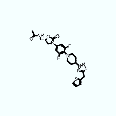 CC(=O)NC[C@H]1CN(c2cc(F)c(N3CCC(n4nnc(Cc5cccs5)n4)CC3)c(F)c2)C(=O)O1